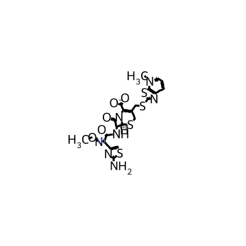 CO/N=C(\C(=O)NC1C(=O)N2C(C(=O)[O-])=C(CSc3nc4ccc[n+](C)c4s3)CS[C@@H]12)c1csc(N)n1